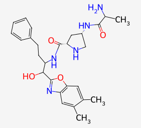 Cc1cc2nc(C(O)C(CCc3ccccc3)NC(=O)[C@@H]3C[C@H](NC(=O)C(C)N)CN3)oc2cc1C